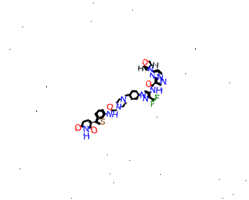 O=C1CC[C@@H](c2csc3c(NC(=O)CN4CCN(CC5CCC(n6cc(NC(=O)c7cnn8ccc(N9C[C@H]%10C[C@@H]9CO%10)nc78)c(C(F)F)n6)CC5)CC4)cccc23)C(=O)N1